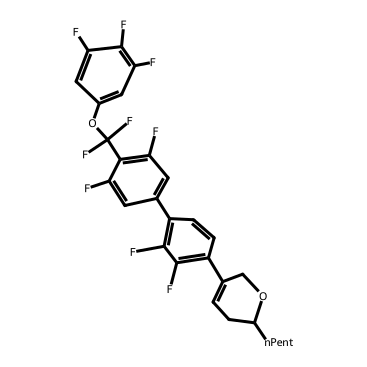 CCCCCC1CC=C(c2ccc(-c3cc(F)c(C(F)(F)Oc4cc(F)c(F)c(F)c4)c(F)c3)c(F)c2F)CO1